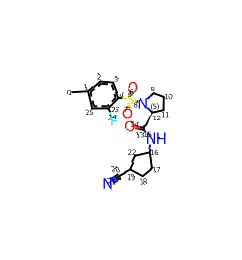 Cc1ccc(S(=O)(=O)N2CCC[C@H]2C(=O)NC2CCC(C#N)C2)c(F)c1